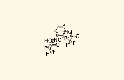 N#Cc1ccccc1.O=C(O)C(F)(F)F.O=C(O)C(F)(F)F